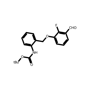 CC(C)(C)OC(=O)Nc1ccccc1COc1cccc(C=O)c1F